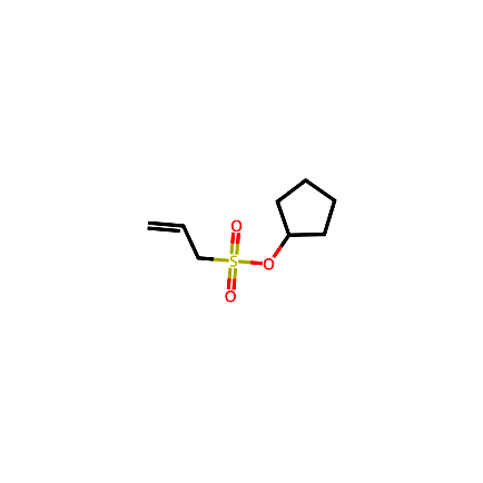 C=CCS(=O)(=O)OC1CCCC1